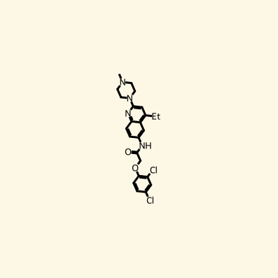 CCc1cc(N2CCN(C)CC2)nc2ccc(NC(=O)COc3ccc(Cl)cc3Cl)cc12